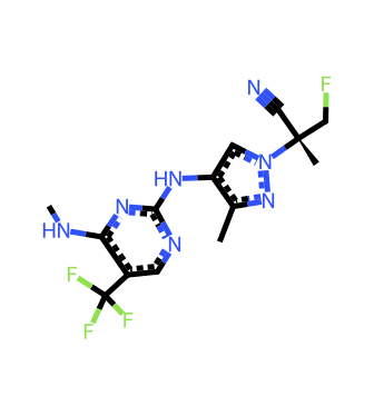 CNc1nc(Nc2cn([C@](C)(C#N)CF)nc2C)ncc1C(F)(F)F